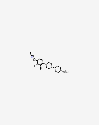 C/C=C/Oc1ccc(C2CCC(C3CCC(CCCC)CC3)CC2)c(F)c1F